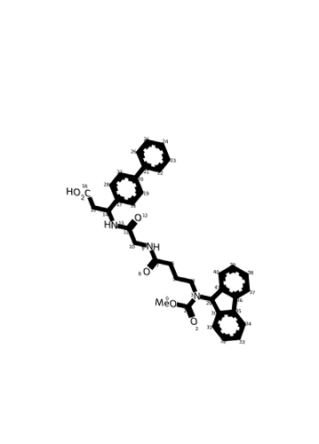 COC(=O)N(CCCC(=O)NCC(=O)NC(CC(=O)O)c1ccc(-c2ccccc2)cc1)C1c2ccccc2-c2ccccc21